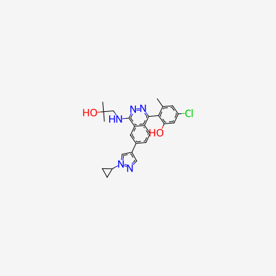 Cc1cc(Cl)cc(O)c1-c1nnc(NCC(C)(C)O)c2cc(-c3cnn(C4CC4)c3)ccc12